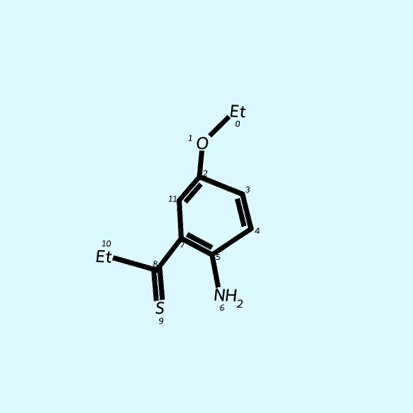 CCOc1ccc(N)c(C(=S)CC)c1